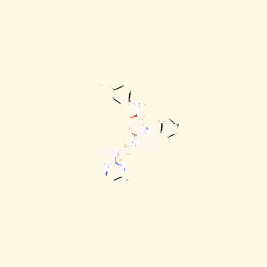 COc1ccc(N(C)C(=O)[C@H](Cc2ccccc2)NC(=O)NS(=O)(=O)Nc2ncccn2)cc1